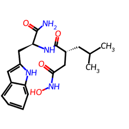 CC(C)C[C@H](CC(=O)NO)C(=O)N[C@@H](Cc1cc2ccccc2[nH]1)C(N)=O